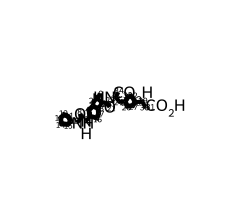 CN1Cc2cc(NC(=O)Nc3ccccc3)ccc2C1C(=O)NC(Cc1ccc(CCC(=O)O)cc1)C(=O)O